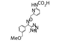 COCc1cccc(C(=NOCc2cccc(NC(=O)O)n2)c2nnnn2C)c1